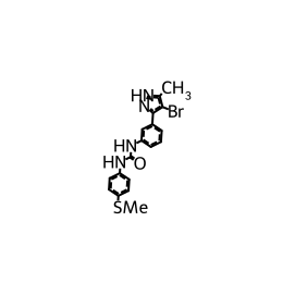 CSc1ccc(NC(=O)Nc2cccc(-c3n[nH]c(C)c3Br)c2)cc1